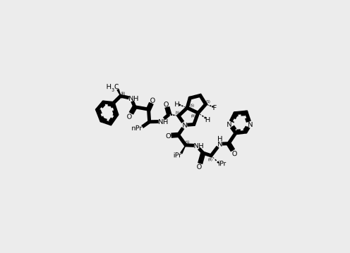 CCCC(NC(=O)[C@@H]1[C@H]2CC[C@H](F)[C@H]2CN1C(=O)[C@@H](NC(=O)[C@H](NC(=O)c1cnccn1)C(C)C)C(C)C)C(=O)C(=O)N[C@H](C)c1ccccc1